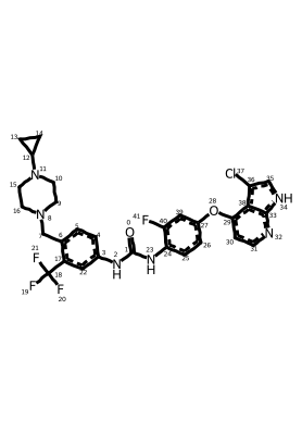 O=C(Nc1ccc(CN2CCN(C3CC3)CC2)c(C(F)(F)F)c1)Nc1ccc(Oc2ccnc3[nH]cc(Cl)c23)cc1F